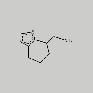 NCC1CCCc2ccsc21